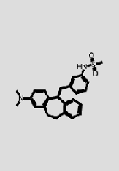 CN(C)c1ccc2c(c1)CCc1ccccc1C2Cc1cccc(NS(C)(=O)=O)c1